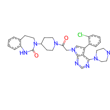 O=C(Cn1cc(-c2ccccc2Cl)c2c(N3CCNCC3)ncnc21)N1CCC(N2CCc3ccccc3NC2=O)CC1